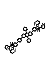 c1ccc(-c2c3ccc(-c4ccc5c(c4)nc(-c4cccnc4)n5-c4ccccn4)cc3c(-c3ccccc3)c3ccc(-c4ccc(-c5ccc6c(c5)nc(-c5ccccn5)n6-c5ccccn5)cc4)cc23)cc1